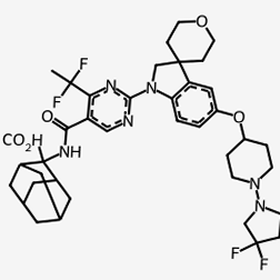 CC(F)(F)c1nc(N2CC3(CCOCC3)c3cc(OC4CCN(N5CCC(F)(F)C5)CC4)ccc32)ncc1C(=O)NC1(C(=O)O)C2CC3CC(C2)CC1C3